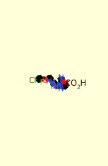 CCn1cncc1Cn1c(CN2CCN(c3cccc(OCc4ccc(Cl)cc4F)n3)C=N2)nc2ccc(C(=O)O)cc21